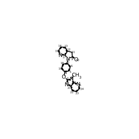 Cn1c(Oc2ccc(N3C(=O)Cc4cccnc43)cc2)nc2cccnc21